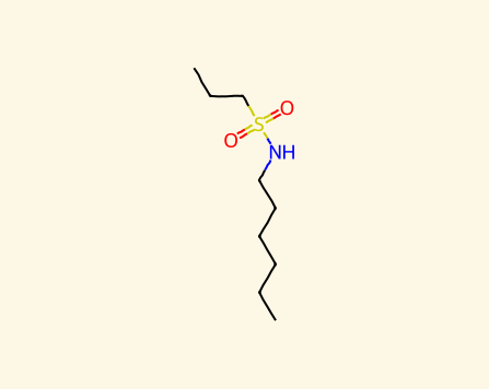 CCCCCCNS(=O)(=O)CCC